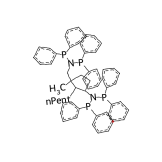 CCCCCC1C(N(P(c2ccccc2)c2ccccc2)P(c2ccccc2)c2ccccc2)CCC1(C)CN(P(c1ccccc1)c1ccccc1)P(c1ccccc1)c1ccccc1